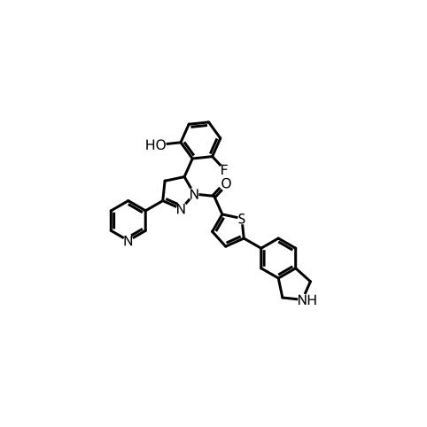 O=C(c1ccc(-c2ccc3c(c2)CNC3)s1)N1N=C(c2cccnc2)CC1c1c(O)cccc1F